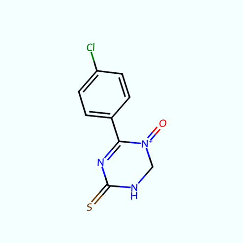 O=[N+]1CNC(=S)N=C1c1ccc(Cl)cc1